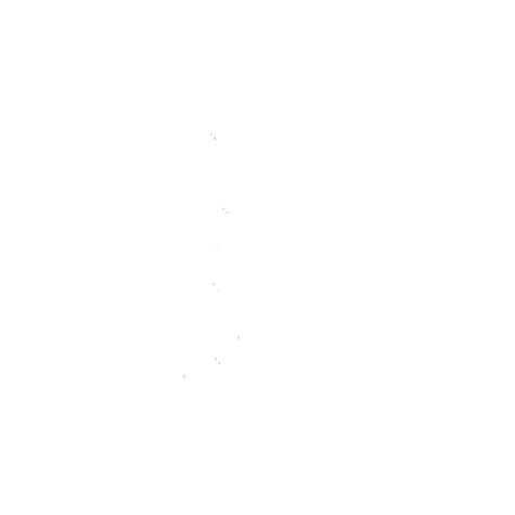 O=CN(O)C[C@@H](CC1CCCC1)C(=O)N1CCC[C@@H]1C(=O)NC(=O)c1cccnc1